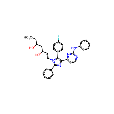 O=C(O)CC(O)CC(O)/C=C/n1c(-c2ccccc2)nc(-c2ccnc(Nc3ccccc3)n2)c1-c1ccc(F)cc1